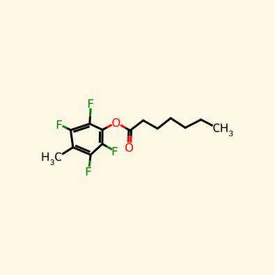 CCCCCCC(=O)Oc1c(F)c(F)c(C)c(F)c1F